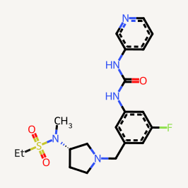 CCS(=O)(=O)N(C)[C@H]1CCN(Cc2cc(F)cc(NC(=O)Nc3cccnc3)c2)C1